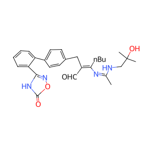 CCCCC(/N=C(/C)NCC(C)(C)O)=C(/C=O)Cc1ccc(-c2ccccc2-c2noc(=O)[nH]2)cc1